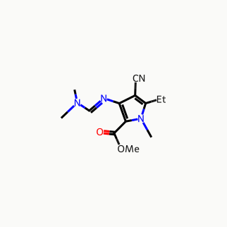 CCc1c(C#N)c(/N=C/N(C)C)c(C(=O)OC)n1C